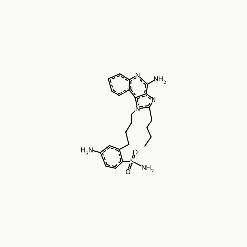 CCCCc1nc2c(N)nc3ccccc3c2n1CCCCc1cc(N)ccc1S(N)(=O)=O